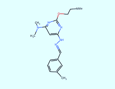 CNCCOc1nc(NN=Cc2cccc(C)c2)cc(N(C)C)n1